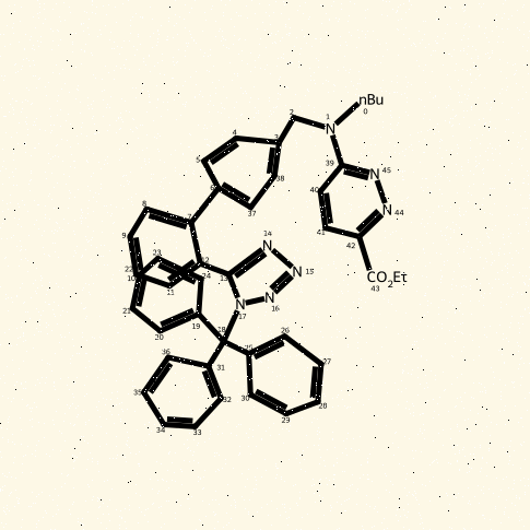 CCCCN(Cc1ccc(-c2ccccc2-c2nnnn2C(c2ccccc2)(c2ccccc2)c2ccccc2)cc1)c1ccc(C(=O)OCC)nn1